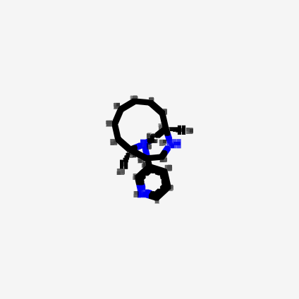 c1cncc(N2C[C@H]3CCCCCC[C@@H]2CCN3)c1